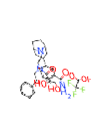 NC(=O)c1cccc(C2CC3CCC(C2)N3CCN(CCc2ccccc2)C(=O)[C@@H](O)CO)c1.O=C(O)C(F)(F)F